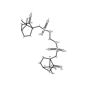 CC1(C)C2CCC1(CS(=O)(=O)OCOS(=O)(=O)CC13CCC(CC1=O)C3(C)C)C(=O)C2